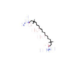 CC(C)(CCCC(O)CCCC(O)CCCC(C)(C)CC(=O)NC#N)CC(=O)NN